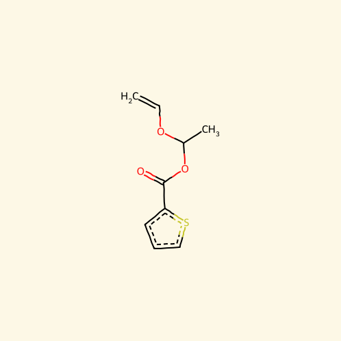 C=COC(C)OC(=O)c1cccs1